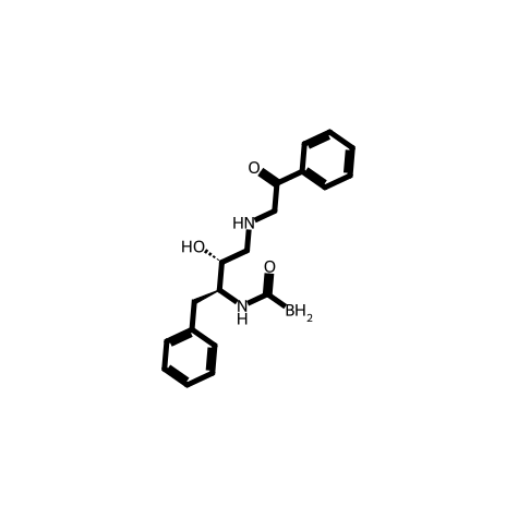 BC(=O)N[C@@H](Cc1ccccc1)[C@H](O)CNCC(=O)c1ccccc1